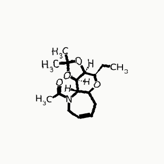 CC[C@H]1OC2CC=CCN(C(C)=O)[C@@H]2[C@H]2OC(C)(C)O[C@H]21